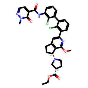 CCOC(=O)[C@H]1CCN([C@@H]2CCc3cc(-c4cccc(-c5cccc(NC(=O)c6ccnn(C)c6=O)c5Cl)c4Cl)nc(OC)c32)C1